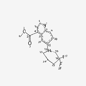 COC(=O)c1ccnc2ccc(N3CCCC(F)(F)C3)cc12